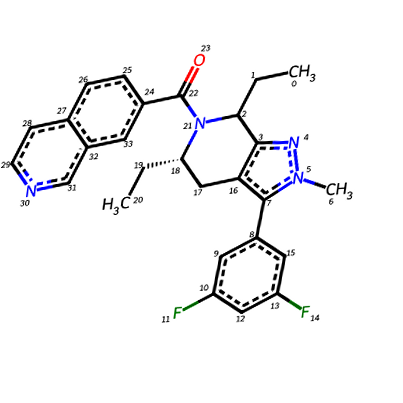 CCC1c2nn(C)c(-c3cc(F)cc(F)c3)c2C[C@H](CC)N1C(=O)c1ccc2ccncc2c1